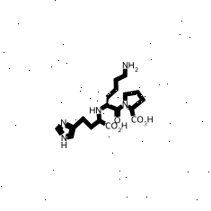 NCCCC[C@H](NC(CCc1c[nH]cn1)C(=O)O)C(=O)N1CCCC1C(=O)O